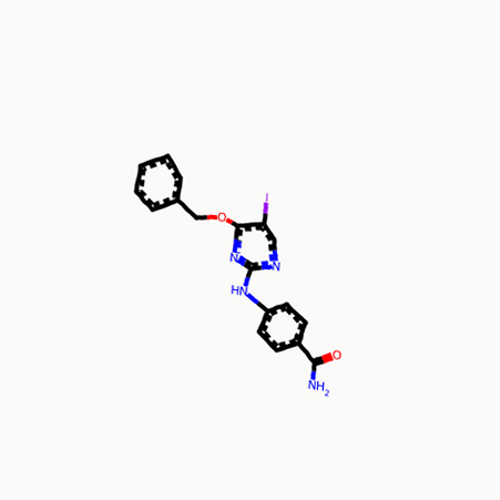 NC(=O)c1ccc(Nc2ncc(I)c(OCc3ccccc3)n2)cc1